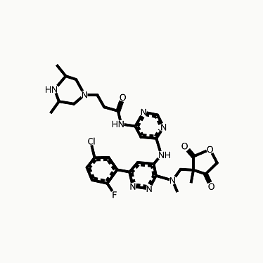 CC1CN(CCC(=O)Nc2cc(Nc3cc(-c4cc(Cl)ccc4F)nnc3N(C)CC3(C)C(=O)COC3=O)ncn2)CC(C)N1